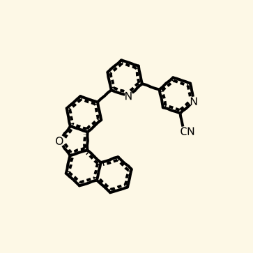 N#Cc1cc(-c2cccc(-c3ccc4oc5ccc6ccccc6c5c4c3)n2)ccn1